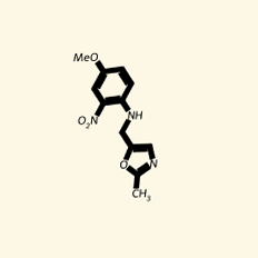 COc1ccc(NCc2cnc(C)o2)c([N+](=O)[O-])c1